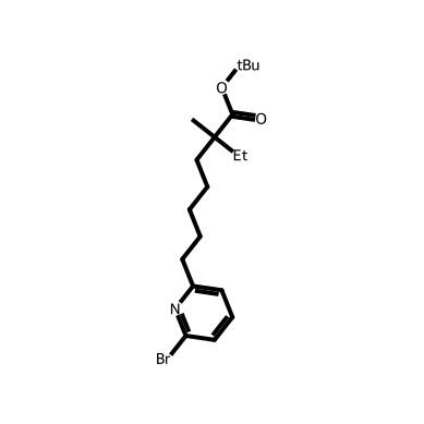 CCC(C)(CCCCCc1cccc(Br)n1)C(=O)OC(C)(C)C